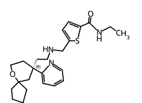 CCNC(=O)c1ccc(CNCC[C@@]2(c3ccccn3)CCOC3(CCCC3)C2)s1